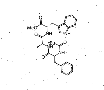 COC(=O)[C@H](Cc1c[nH]c2ccccc12)NC(=O)[C@H](C)NC(=O)[C@H](Cc1ccccc1)NC(=O)C(C)(C)C